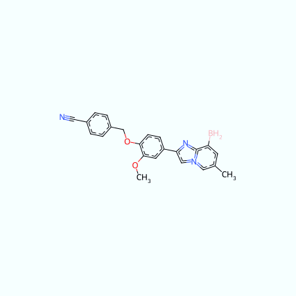 Bc1cc(C)cn2cc(-c3ccc(OCc4ccc(C#N)cc4)c(OC)c3)nc12